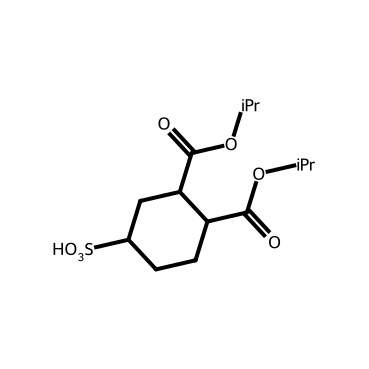 CC(C)OC(=O)C1CCC(S(=O)(=O)O)CC1C(=O)OC(C)C